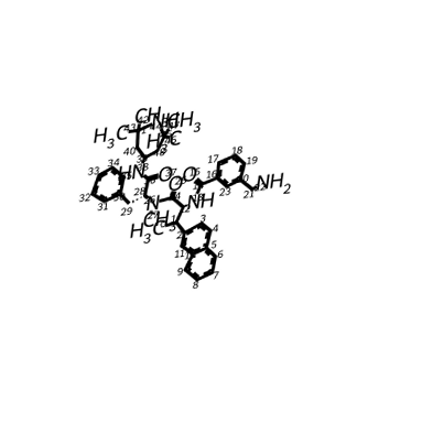 CC(c1ccc2ccccc2c1)[C@@H](NC(=O)c1cccc(CN)c1)C(=O)N(C)[C@H](Cc1ccccc1)C(=O)NC1CC(C)(C)NC(C)(C)C1